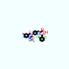 Cn1c(=O)n(-c2ccc(C[C@H](NC(=O)c3c(Cl)cccc3Cl)C(=O)O)cc2)c(=O)c2cc(I)c(F)cc21